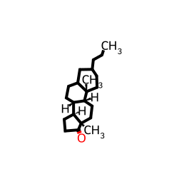 CCCC1CC[C@@]2(C)C(CC[C@@H]3[C@H]2CC[C@]2(C)C(=O)CC[C@@H]32)C1